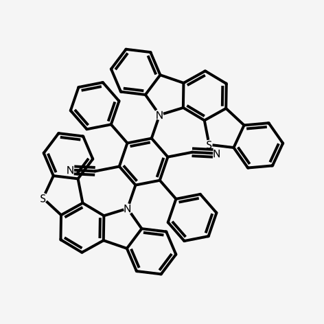 N#Cc1c(-c2ccccc2)c(-n2c3ccccc3c3ccc4sc5ccccc5c4c32)c(C#N)c(-c2ccccc2)c1-n1c2ccccc2c2ccc3c4ccccc4sc3c21